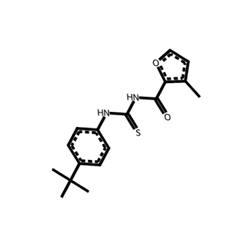 Cc1ccoc1C(=O)NC(=S)Nc1ccc(C(C)(C)C)cc1